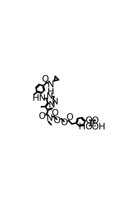 CCN(C(=O)OCOC(=O)Cc1ccc(OP(=O)(O)O)cc1)C(=O)c1cn2ncnc(Nc3cc(C(=O)NC4CC4)ccc3C)c2c1C